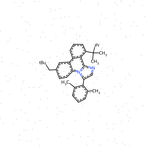 Cc1cccc(C)c1-c1cnc2c3c(C(C)(C)C(C)C)cccc3c3cc(CC(C)(C)C)ccc3n12